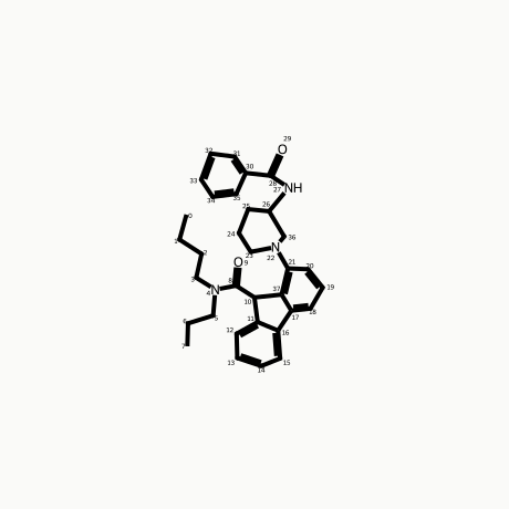 CCCCN(CCC)C(=O)C1c2ccccc2-c2cccc(N3CCCC(NC(=O)c4ccccc4)C3)c21